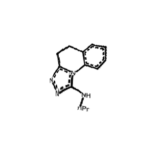 CCCNc1nnc2n1-c1ccccc1CC2